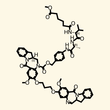 COC(=O)CCCCC(=O)N[C@@H](C(=O)N[C@H](C)C(=O)Nc1ccc(COC(=O)N2C[C@@H]3Cc4ccccc4N3C(=O)c3cc(OC)c(OCCCOc4cc5c(cc4OC)C(=O)N4c6ccccc6CC4C=N5)cc32)cc1)C(C)C